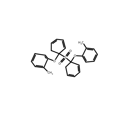 Cc1ccccc1OC1(S(=O)(=O)C2(Oc3ccccc3C)C=CC=CC2)C=CC=CC1